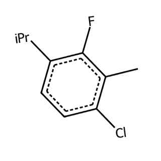 Cc1c(Cl)ccc(C(C)C)c1F